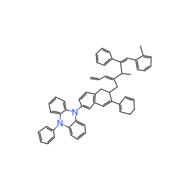 C=C/C=C(\CC1Cc2ccc(N3c4ccccc4N(c4ccccc4)c4ccccc43)cc2C=C1C1=CCCC=C1)C(C)/C(=C\c1ccccc1C)c1ccccc1